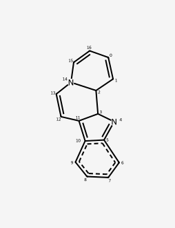 C1=CC2C3N=c4ccccc4=C3C=CN2C=C1